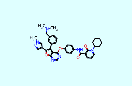 CN(C)Cc1cccc(-c2c(-c3cnn(C)c3)oc3ncnc(Oc4ccc(NC(=O)c5cccn(C6CCCCC6)c5=O)cc4)c23)c1